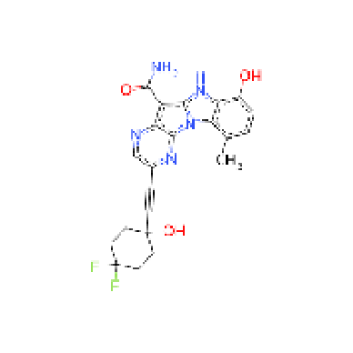 Cc1ccc(O)c2[nH]c3c(C(N)=O)c4ncc(C#CC5(O)CCC(F)(F)CC5)nc4n3c12